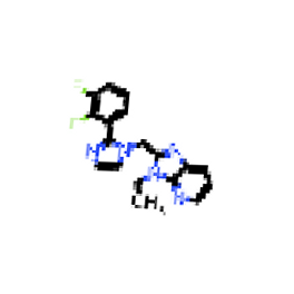 CCn1c(Cn2ccnc2-c2cccc(F)c2F)nc2cccnc21